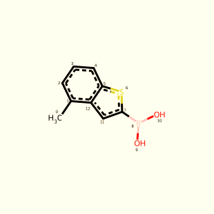 Cc1cccc2sc(B(O)O)cc12